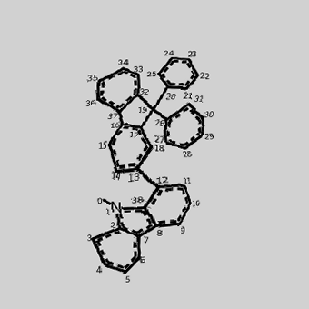 Cn1c2ccccc2c2cccc(-c3ccc4c(c3)C(c3ccccc3)(c3ccccc3)c3ccccc3-4)c21